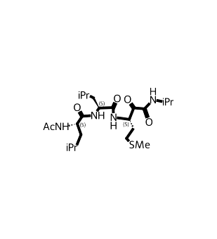 CSCC[C@H](NC(=O)[C@H](CC(C)C)NC(=O)[C@H](CC(C)C)NC(C)=O)C(=O)C(=O)NC(C)C